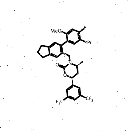 COc1cc(F)c(C(C)C)cc1-c1cc2c(cc1CN1C(=O)O[C@H](c3cc(C(F)(F)F)cc(C(F)(F)F)c3)C[C@@H]1C)CCC2